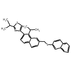 CC(C)c1nc(-c2ccc3ccc(CSc4ccc5ccccc5c4)cc3c2C(C)C)cs1